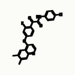 Cc1cc2nccc(Oc3ccc(C(=O)C(=O)Nc4ccc(Cl)cc4)c(F)c3)c2cc1C